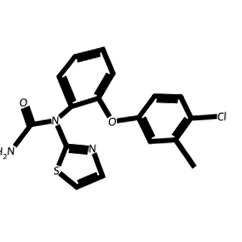 Cc1cc(Oc2ccccc2N(C(N)=O)c2nccs2)ccc1Cl